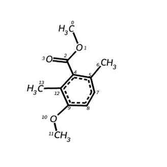 COC(=O)c1c(C)ccc(OC)c1C